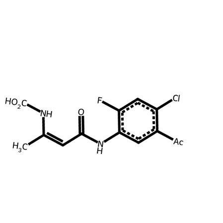 CC(=O)c1cc(NC(=O)C=C(C)NC(=O)O)c(F)cc1Cl